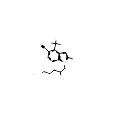 Cc1cc2c(C(F)(F)F)c(C#N)ccc2n1CC(C)CCCO